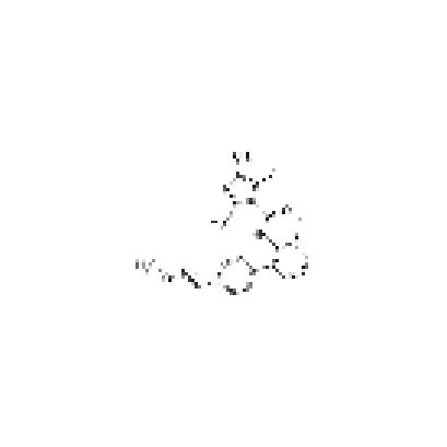 CO/N=C/c1ccc(-c2cccc(F)c2NC(=O)c2c(C)nn(C)c2F)cc1